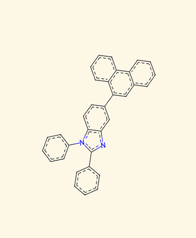 c1ccc(-c2nc3cc(-c4cc5ccccc5c5ccccc45)ccc3n2-c2ccccc2)cc1